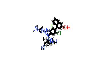 CN(C)C1CN(c2nc(N3C[C@@H]4CC[C@H]3[C@H](CC#N)N4)c3cc(Cl)c(-c4cc(O)cc5ccccc45)c(F)c3n2)C1